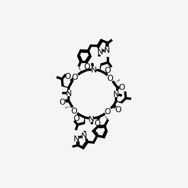 Cc1cc(Cc2ccc(C[C@H]3OC(=O)[C@H](CC(C)C)N(C)C(=O)[C@@H](C)OC(=O)[C@H](CC(C)C)N(C)C(=O)[C@@H](Cc4ccc(Cc5cc(C)nn5C)cc4)OC(=O)[C@H](CC(C)C)N(C)C(=O)[C@@H](C)OC(=O)[C@H](CC(C)C)N(C)C3=O)cc2)n(C)n1